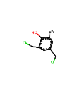 CCCc1cc(CCl)cc(CCl)c1O